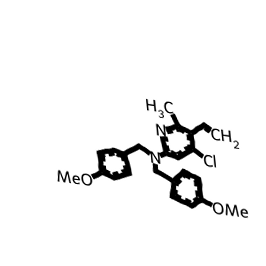 C=Cc1c(Cl)cc(N(Cc2ccc(OC)cc2)Cc2ccc(OC)cc2)nc1C